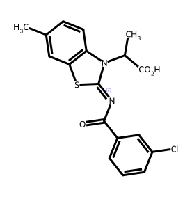 Cc1ccc2c(c1)s/c(=N\C(=O)c1cccc(Cl)c1)n2C(C)C(=O)O